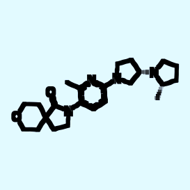 Cc1nc(N2CC[C@H](N3CCC[C@@H]3C)C2)ccc1N1CCC2(CCOCC2)C1=O